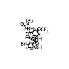 CC(C)(C)OC(=O)CNC(=O)c1cc(OC(F)(F)F)cc(NS(=O)(=O)c2cc(Br)ccc2O)c1O